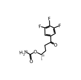 C[C@@H](CCC(=O)c1cc(F)c(F)c(F)c1)OC(N)=O